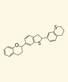 c1ccc2c(c1)CCC(c1ccc3c(c1)SC(c1ccc4c(c1)SCCC4)C3)O2